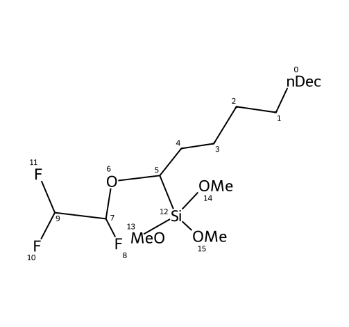 CCCCCCCCCCCCCCC(OC(F)C(F)F)[Si](OC)(OC)OC